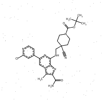 Cc1c(C(N)=O)nc2c(NCC3(C#N)CCN(C(=O)OC(C)(C)C)CC3)nc(-c3ccnc(Cl)c3)cn12